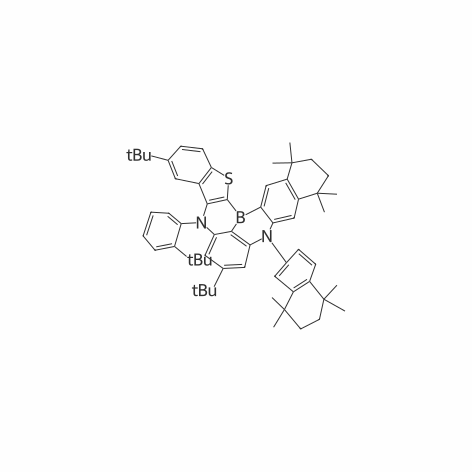 CC(C)(C)c1cc2c3c(c1)N(c1ccccc1C(C)(C)C)c1c(sc4ccc(C(C)(C)C)cc14)B3c1cc3c(cc1N2c1ccc2c(c1)C(C)(C)CCC2(C)C)C(C)(C)CCC3(C)C